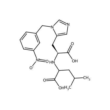 CC(C)CC(N[C@@H](Cc1cncn1Cc1cccc([N+](=O)[O-])c1)C(=O)O)C(=O)O